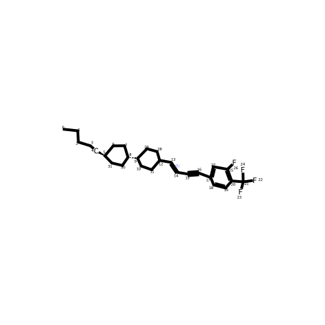 CCCCC[C@H]1CC[C@H](C2CCC(/C=C/C#Cc3ccc(C(F)(F)F)c(F)c3)CC2)CC1